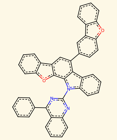 c1ccc(-c2nc(-n3c4ccccc4c4c(-c5ccc6oc7ccccc7c6c5)cc5c6ccccc6oc5c43)nc3ccccc23)cc1